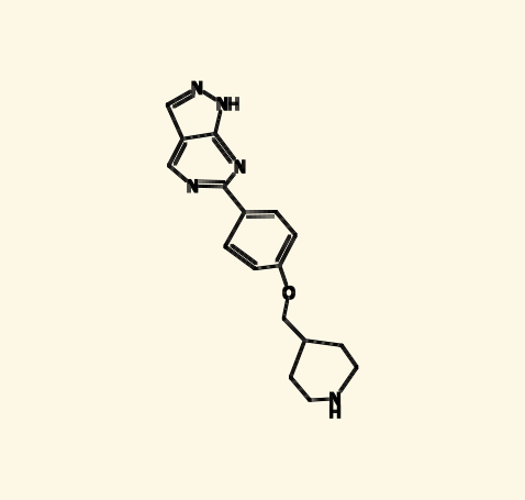 c1cc(-c2ncc3cn[nH]c3n2)ccc1OCC1CCNCC1